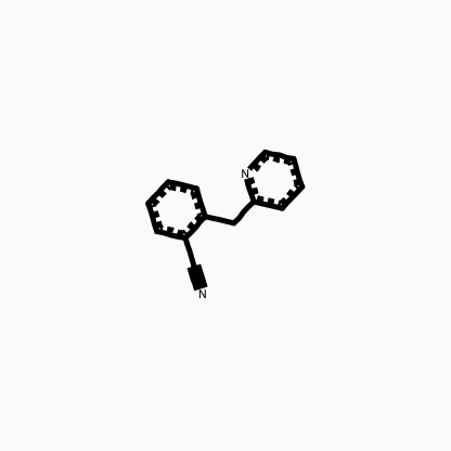 N#Cc1ccccc1Cc1ccccn1